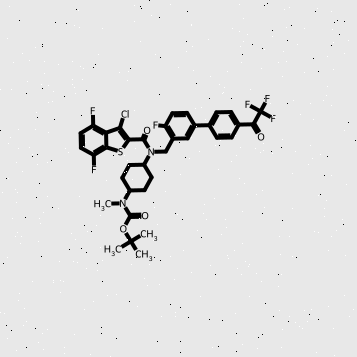 CN(C(=O)OC(C)(C)C)C1CCC(N(Cc2cc(-c3ccc(C(=O)C(F)(F)F)cc3)ccc2F)C(=O)c2sc3c(F)ccc(F)c3c2Cl)CC1